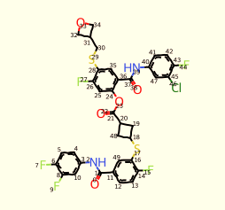 O=C(Nc1ccc(F)c(F)c1)c1ccc(F)c(SC2CC(C(=O)Oc3cc(F)c(SCC4COC4)cc3C(=O)Nc3ccc(F)c(Cl)c3)C2)c1